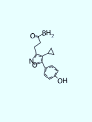 BC(=O)CCc1noc(-c2ccc(O)cc2)c1C1CC1